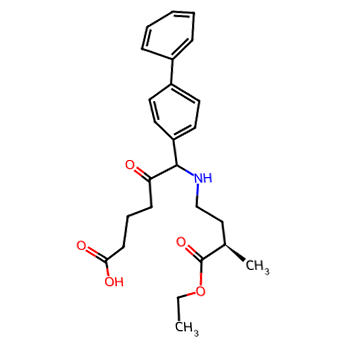 CCOC(=O)[C@H](C)CCNC(C(=O)CCCC(=O)O)c1ccc(-c2ccccc2)cc1